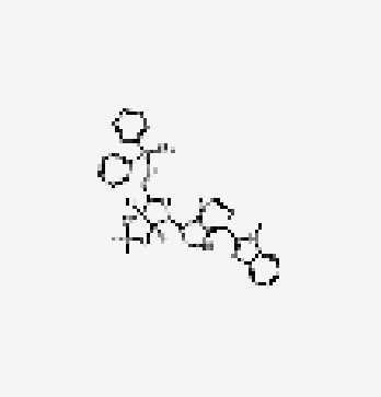 Cn1c(-c2ncnc3c2NCN3[C@@H]2O[C@H](CO[Si](c3ccccc3)(c3ccccc3)C(C)(C)C)[C@H]3OC(C)(C)O[C@H]32)cc2ccccc21